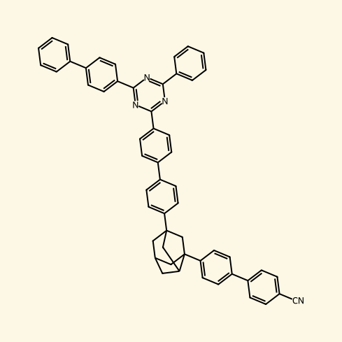 N#Cc1ccc(-c2ccc(C34CC5CC3CC(c3ccc(-c6ccc(-c7nc(-c8ccccc8)nc(-c8ccc(-c9ccccc9)cc8)n7)cc6)cc3)(C5)C4)cc2)cc1